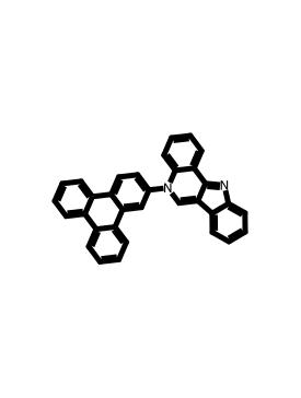 c1ccc2c3cn(-c4ccc5c6ccccc6c6ccccc6c5c4)c4ccccc4c-3nc2c1